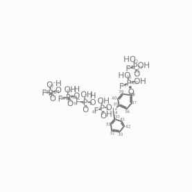 O=P(O)(O)F.O=P(O)(O)F.O=P(O)(O)F.O=P(O)(O)F.O=P(O)(O)F.O=P([O-])(O)F.c1ccc([I+]c2ccccc2)cc1